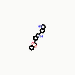 c1ccc2c(c1)OCC(c1ccc3c(c1)NC(c1ccc4c(c1)NCCC4)C3)O2